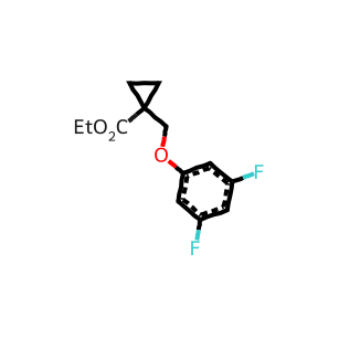 CCOC(=O)C1(COc2cc(F)cc(F)c2)CC1